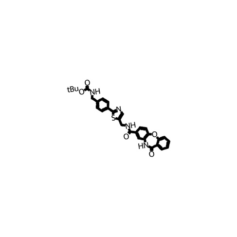 CC(C)(C)OC(=O)NCc1ccc(-c2ncc(CNC(=O)c3ccc4c(c3)NC(=O)c3ccccc3O4)s2)cc1